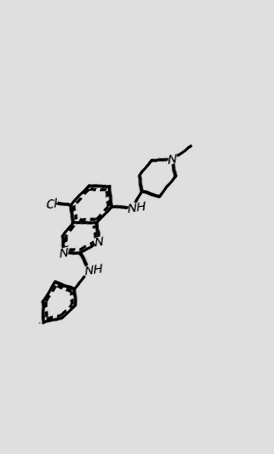 CN1CCC(Nc2ccc(Cl)c3cnc(Nc4cc[c]cc4)nc23)CC1